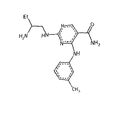 CCC(N)CNc1ncc(C(N)=O)c(Nc2cccc(C)c2)n1